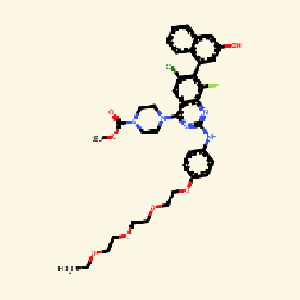 CC(C)(C)OC(=O)N1CCN(c2nc(Nc3ccc(OCCOCCOCCOCC(=O)O)cc3)nc3c(F)c(-c4cc(O)cc5ccccc45)c(Cl)cc23)CC1